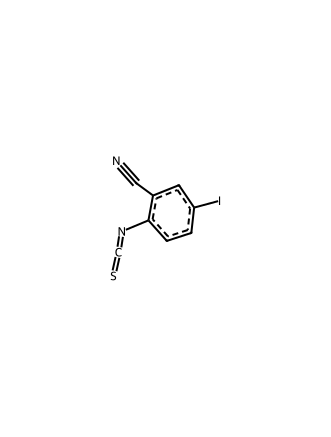 N#Cc1cc(I)ccc1N=C=S